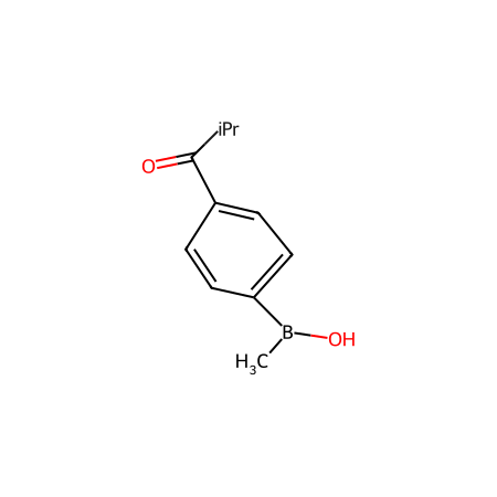 CB(O)c1ccc(C(=O)C(C)C)cc1